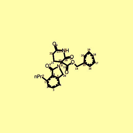 CCCc1cccc2c1C(=O)N([C@]1(C(=O)OCc3ccccc3)CCC(=O)NC1=O)C2